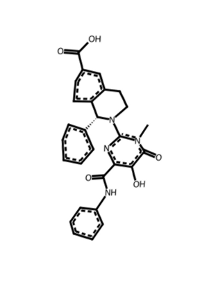 Cn1c(N2CCc3cc(C(=O)O)ccc3[C@H]2c2ccccc2)nc(C(=O)Nc2ccccc2)c(O)c1=O